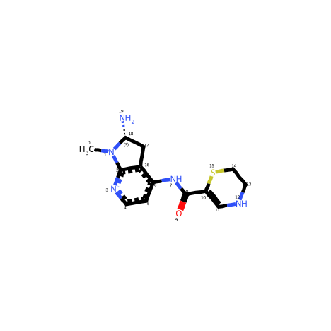 CN1c2nccc(NC(=O)C3=CNCCS3)c2C[C@H]1N